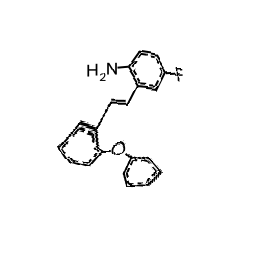 Nc1ccc(F)cc1/C=C/c1ccccc1Oc1ccccc1